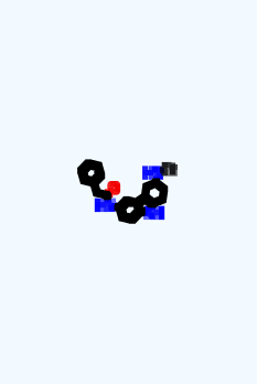 CCNC1CCc2[nH]c3ccc(NC(=O)Cc4ccccc4)cc3c2C1